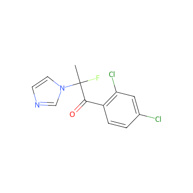 CC(F)(C(=O)c1ccc(Cl)cc1Cl)n1ccnc1